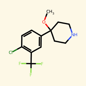 COC1(c2ccc(Cl)c(C(F)(F)F)c2)CCNCC1